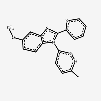 Cc1ccc(-n2c(-c3ccccn3)nc3cc(OC(F)(F)F)ccc32)nn1